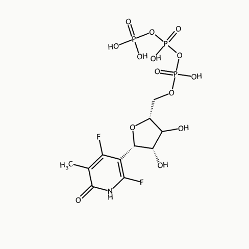 Cc1c(F)c([C@@H]2O[C@H](COP(=O)(O)OP(=O)(O)OP(=O)(O)O)C(O)[C@@H]2O)c(F)[nH]c1=O